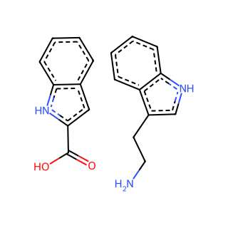 NCCc1c[nH]c2ccccc12.O=C(O)c1cc2ccccc2[nH]1